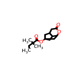 CCC(C)(C)C(=O)OC12CC3CC(=O)OC(C1)C3C2